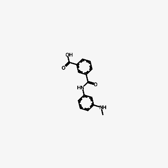 CNc1cccc(NC(=O)c2cccc(C(=O)O)c2)c1